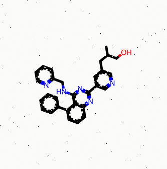 CC(CO)Cc1cncc(-c2nc(NCc3ccccn3)c3c(-c4ccccc4)cccc3n2)c1